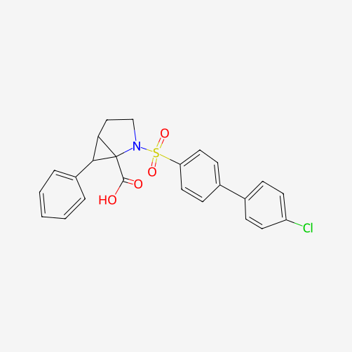 O=C(O)C12C(CCN1S(=O)(=O)c1ccc(-c3ccc(Cl)cc3)cc1)C2c1ccccc1